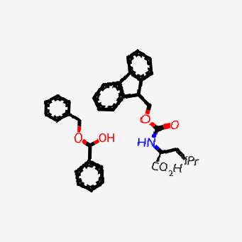 CC(C)C[C@H](NC(=O)OCC1c2ccccc2-c2ccccc21)C(=O)O.OC(OCc1ccccc1)c1ccccc1